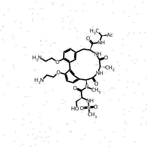 CC(=O)[C@H](C)NC(=O)[C@@H]1Cc2ccc(OCCN)c(c2)-c2cc(ccc2OCCN)[C@H](N(C)C(=O)[C@H](CO)NS(C)(=O)=O)C(=O)N[C@@H](C)C(=O)N1